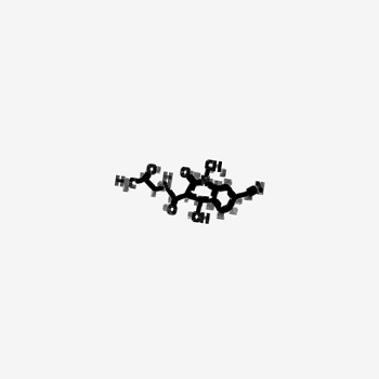 CC(=O)CNC(=O)c1c(O)c2ccc(C#N)cc2n(C)c1=O